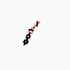 Cc1ccc(C2CCC(C3OCC(OCOCC4CO4)CO3)CC2)cc1